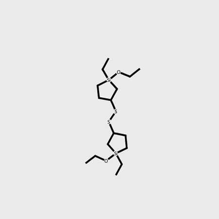 CCO[Si]1(CC)CCC(SSC2CC[Si](CC)(OCC)C2)C1